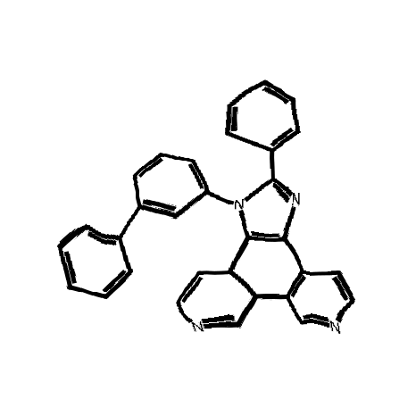 C1=CC2c3c(nc(-c4ccccc4)n3-c3cccc(-c4ccccc4)c3)-c3ccncc3C2C=N1